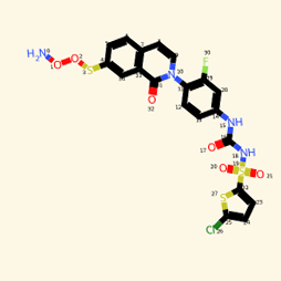 NOOSc1ccc2ccn(-c3ccc(NC(=O)NS(=O)(=O)c4ccc(Cl)s4)cc3F)c(=O)c2c1